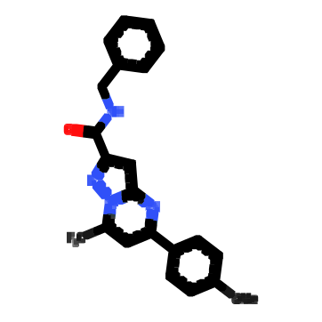 COc1ccc(-c2cc(C(F)(F)F)n3nc(C(=O)NCc4ccccc4)cc3n2)cc1